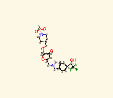 CS(=O)(=O)N1CCC(COc2coc(CN3Cc4ccc(C(O)C(F)(F)F)cc4C3)cc2=O)CC1